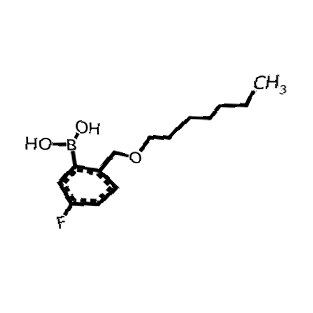 CCCCCCCOCc1ccc(F)cc1B(O)O